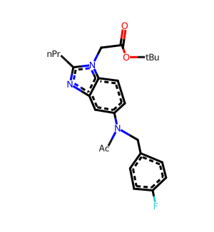 CCCc1nc2cc(N(Cc3ccc(F)cc3)C(C)=O)ccc2n1CC(=O)OC(C)(C)C